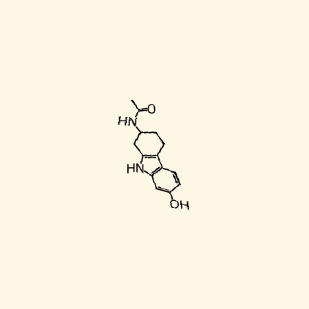 CC(=O)NC1CCc2c([nH]c3cc(O)ccc23)C1